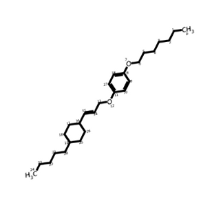 CCCCCCCOc1ccc(OCC=CC2CCC(CCCCC)CC2)cc1